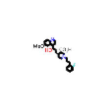 COc1ccc2nccc([C@@H](O)CC[C@@H]3CCN(CCCc4ccccc4F)C[C@@H]3C(=O)O)c2c1